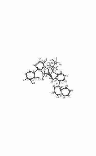 CC1=Cc2c(-c3ccc(C)c(C)c3C)ccc(C)c2[CH]1[Zr]([Cl])([Cl])([CH]1C(C(C)C)=Cc2c(-c3cccc4ccccc34)cccc21)[SiH](C)C